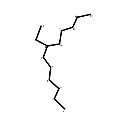 CCCCCC[C](CC)CCCCC